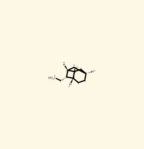 O=C(O)C[C@H]1[C@H]2CC[C@@H]3C[C@H]2[C@H]1C3